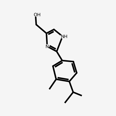 Cc1cc(-c2nc(CO)c[nH]2)ccc1C(C)C